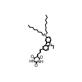 CCCCCCCCN(CCCCCCCC)c1ccc2c(c1)c1cc(/C=C/C=C3C(=O)NC(=O)NC3=O)ccc1n2CC